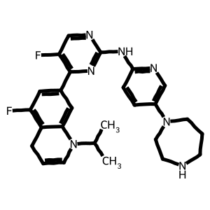 CC(C)N1C=CCc2c(F)cc(-c3nc(Nc4ccc(N5CCCNCC5)cn4)ncc3F)cc21